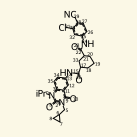 CC(C)n1c(=O)n(CC2CC2)c(=O)c2cc(NC(=O)C3CCCC(C(=O)Nc4ccc(C#N)c(Cl)c4)C3)ccc21